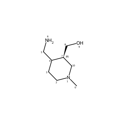 CN1CCC(CN)[C@@H](CO)C1